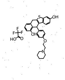 O=C(O)C(F)(F)F.Oc1ccc2c3c(sc2c1)Cc1cccc(O)c1C3c1ccc(OCCN2CCCCC2)cc1